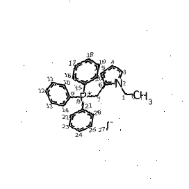 CCn1cccc1C[P+](c1ccccc1)(c1ccccc1)c1ccccc1.[I-]